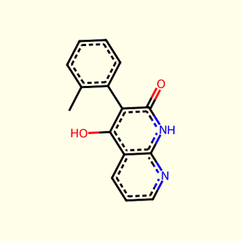 Cc1ccccc1-c1c(O)c2cccnc2[nH]c1=O